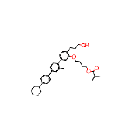 C=C(C)C(=O)OCCCCOc1cc(-c2ccc(-c3ccc(C4CCCCC4)cc3)cc2C)ccc1CCCO